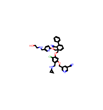 N#Cc1cncc(COc2cc(OCC3(COc4ccc(CNCCO)cn4)C=CC=C(c4ccccc4)C3C#N)c(Cl)cc2CNC2CC2)c1